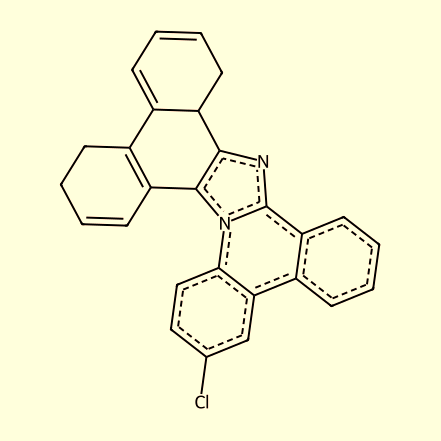 Clc1ccc2c(c1)c1ccccc1c1nc3c(n21)C1=C(CCC=C1)C1=CC=CCC13